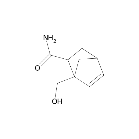 NC(=O)C1CC2C=CC1(CO)C2